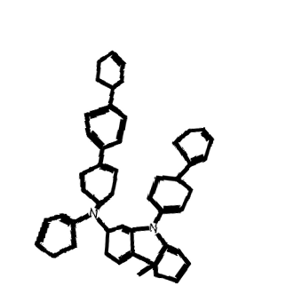 CC12CC=CC=C1N(C1=CCC(C3=CC=CCC3)CC1)C1=CC(N(C3=CC=CCC3)C3CC=C(c4ccc(C5CC=CCC5)cc4)CC3)CC=C12